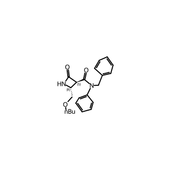 CCCCOC[C@@H]1NC(=O)[C@H]1C(=O)N(Cc1ccccc1)c1ccccc1